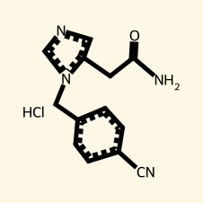 Cl.N#Cc1ccc(Cn2cncc2CC(N)=O)cc1